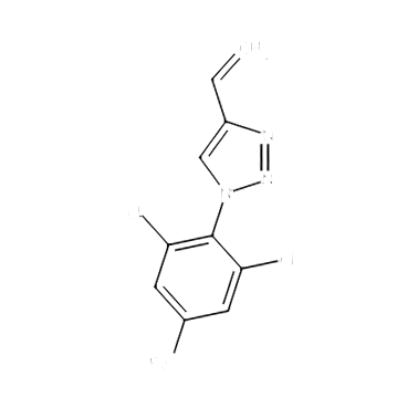 C=Cc1cn(-c2c(Cl)cc(C(F)(F)F)cc2Cl)nn1